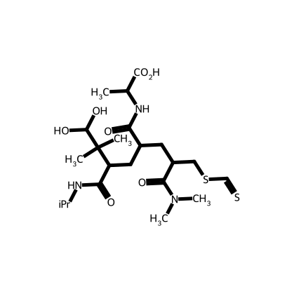 CC(C)NC(=O)C(CC(CC(CSC=S)C(=O)N(C)C)C(=O)NC(C)C(=O)O)C(C)(C)C(O)O